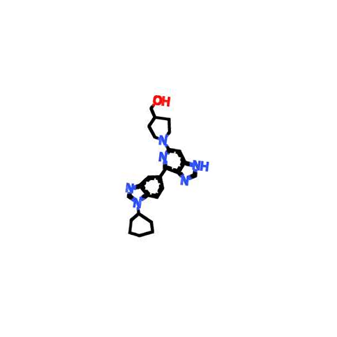 OCC1CCN(c2cc3[nH]cnc3c(-c3ccc4c(c3)ncn4C3CCCCC3)n2)CC1